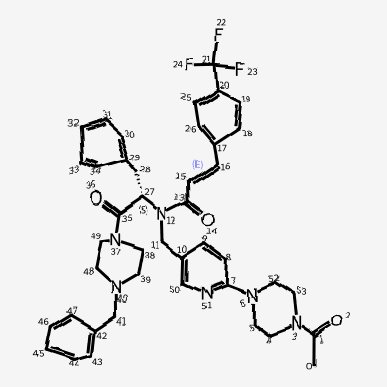 CC(=O)N1CCN(c2ccc(CN(C(=O)/C=C/c3ccc(C(F)(F)F)cc3)[C@@H](Cc3ccccc3)C(=O)N3CCN(Cc4ccccc4)CC3)cn2)CC1